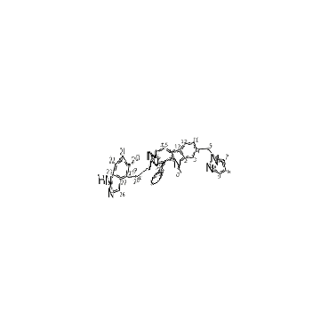 Cn1c2cc(Cn3cccn3)ccc2c2cnn(Cc3cccc4[nH]ncc34)c(=O)c21